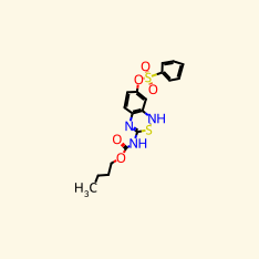 CCCCOC(=O)NC1=Nc2ccc(OS(=O)(=O)c3ccccc3)cc2NS1